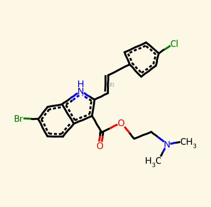 CN(C)CCOC(=O)c1c(/C=C/c2ccc(Cl)cc2)[nH]c2cc(Br)ccc12